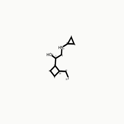 OC(CNC1CC1)C1CCC1CI